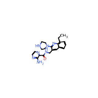 CCc1cccc2cc(CNC(=O)c3nccnc3N)c(N3CCNCC3)nc12